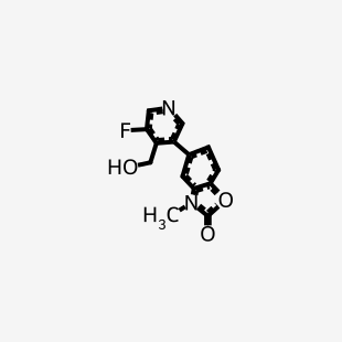 Cn1c(=O)oc2ccc(-c3cncc(F)c3CO)cc21